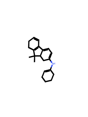 CC1(C)C2=C(C=CCC2)C2=CC=C(NC3=CCCCC3)CC21